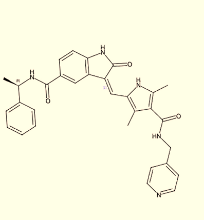 Cc1[nH]c(/C=C2\C(=O)Nc3ccc(C(=O)N[C@H](C)c4ccccc4)cc32)c(C)c1C(=O)NCc1ccncc1